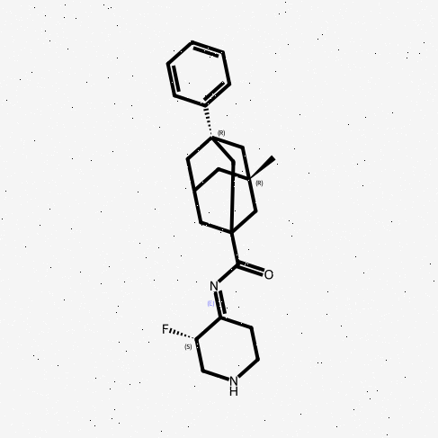 C[C@]12CC3CC(C(=O)/N=C4\CCNC[C@@H]4F)(C1)C[C@@](c1ccccc1)(C3)C2